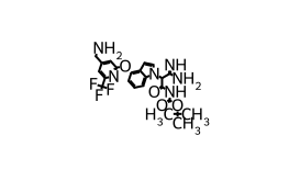 CC(C)(C)OC(=O)NC(=O)C(C(=N)N)n1ccc2c(Oc3cc(CN)cc(C(F)(F)F)n3)cccc21